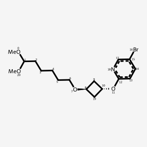 COC(CCCCCO[C@H]1C[C@H](Oc2ccc(Br)cn2)C1)OC